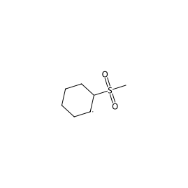 CS(=O)(=O)C1[CH]CCCC1